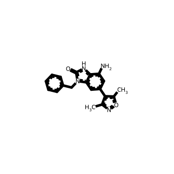 Cc1noc(C)c1-c1cc(N)c2[nH]c(=O)n(Cc3ccccc3)c2c1